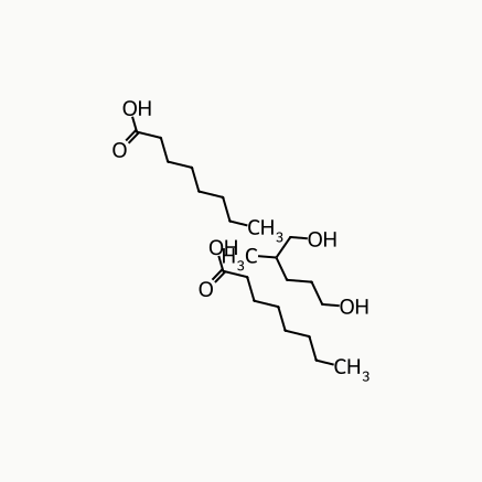 CC(CO)CCCO.CCCCCCCC(=O)O.CCCCCCCC(=O)O